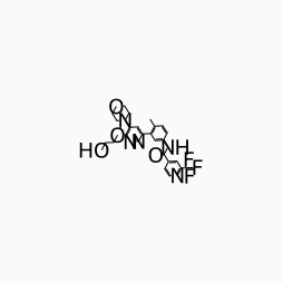 Cc1ccc(NC(=O)c2ccnc(C(F)(F)F)c2)cc1-c1cc(N2CCOCC2)c(OCCO)nn1